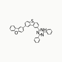 c1ccc(C2=NC(c3ccccc3)NC(c3ccc4sc5ccc(-c6ccc7oc8ccccc8c7c6)cc5c4c3)=N2)cc1